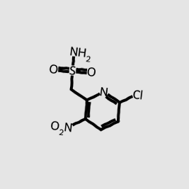 NS(=O)(=O)Cc1nc(Cl)ccc1[N+](=O)[O-]